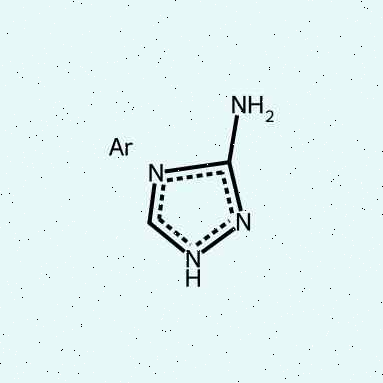 Nc1nc[nH]n1.[Ar]